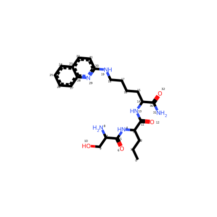 CCCC(NC(=O)C(N)CO)C(=O)NC(CCCCNc1ccc2ccccc2n1)C(N)=O